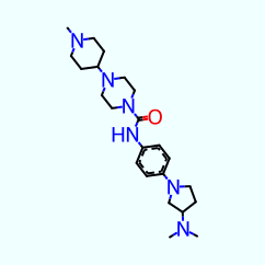 CN1CCC(N2CCN(C(=O)Nc3ccc(N4CCC(N(C)C)C4)cc3)CC2)CC1